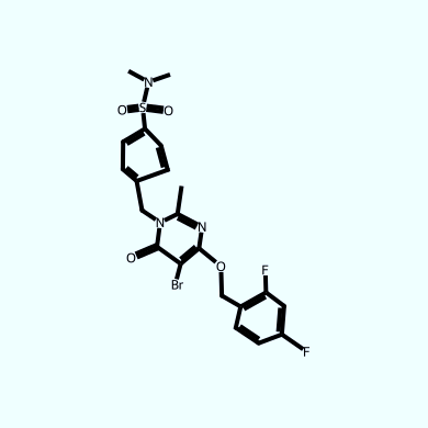 Cc1nc(OCc2ccc(F)cc2F)c(Br)c(=O)n1Cc1ccc(S(=O)(=O)N(C)C)cc1